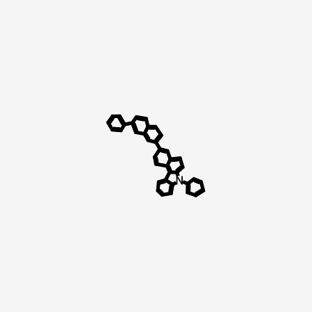 c1ccc(-c2ccc3ccc(-c4ccc5c(ccc6c5c5ccccc5n6-c5ccccc5)c4)cc3c2)cc1